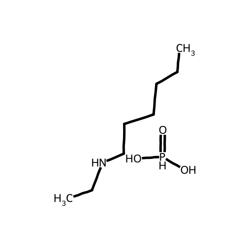 CCCCCCNCC.O=[PH](O)O